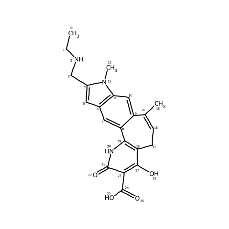 CCNCc1cc2cc3c(cc2n1C)C(C)=CCc1c-3[nH]c(=O)c(C(=O)O)c1O